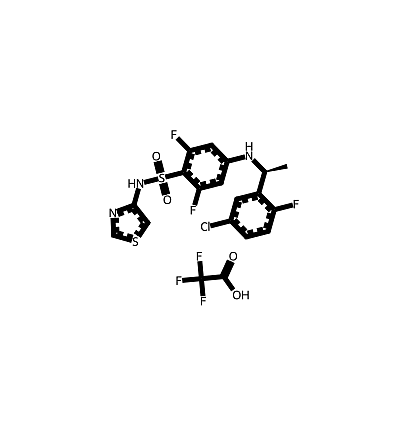 C[C@H](Nc1cc(F)c(S(=O)(=O)Nc2cscn2)c(F)c1)c1cc(Cl)ccc1F.O=C(O)C(F)(F)F